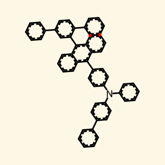 c1ccc(-c2ccc(N(c3ccccc3)c3ccc(-c4c5ccccc5c(-c5cc(-c6ccccc6)ccc5-c5ccccc5)c5ccccc45)cc3)cc2)cc1